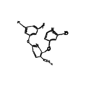 Cc1ccc(Oc2cc(F)cc(F)c2)nc1Oc1ccnc(Cl)c1